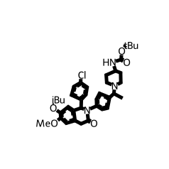 CC[C@@H](C)Oc1cc2c(cc1OC)CC(=O)N(c1ccc(C(C)N3CCC(NC(=O)OC(C)(C)C)CC3)cc1)C2c1ccc(Cl)cc1